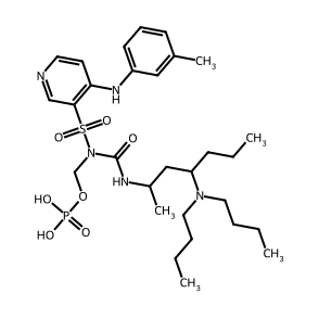 CCCCN(CCCC)C(CCC)CC(C)NC(=O)N(COP(=O)(O)O)S(=O)(=O)c1cnccc1Nc1cccc(C)c1